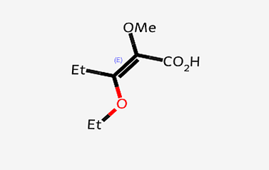 CCO/C(CC)=C(/OC)C(=O)O